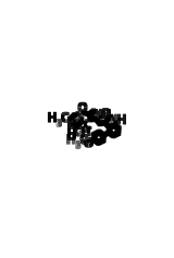 COc1ccc(-c2cccc3c2/C(=C/c2[nH]cc(C(=O)N4C[C@H](C)N[C@@H](C)C4)c2C)C(=O)N3)cc1